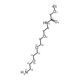 CCOCC(=O)NCCOCCOCCOCCN